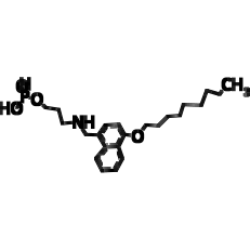 CCCCCCCCCOc1ccc(CNCCCO[PH](=O)O)c2ccccc12